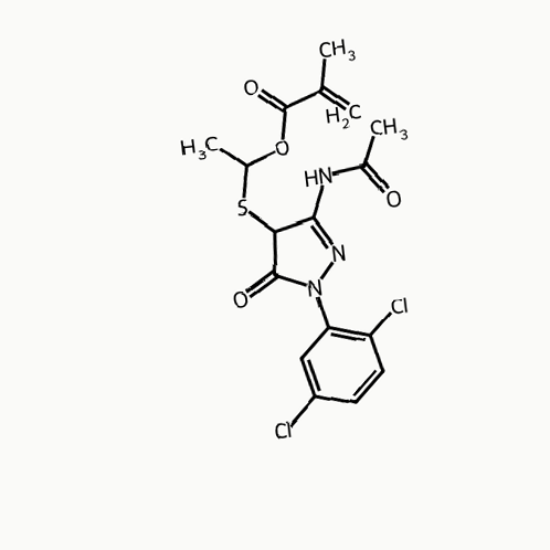 C=C(C)C(=O)OC(C)SC1C(=O)N(c2cc(Cl)ccc2Cl)N=C1NC(C)=O